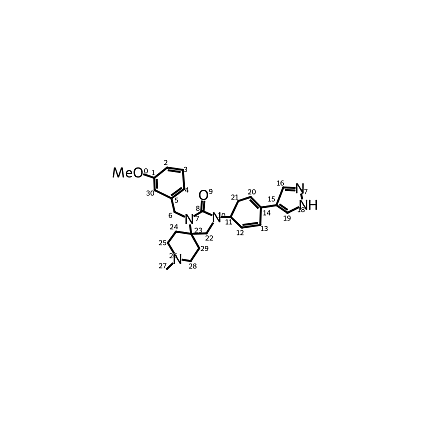 COc1cccc(CN2C(=O)N(C3C=CC(c4cn[nH]c4)=CC3)CC23CCN(C)CC3)c1